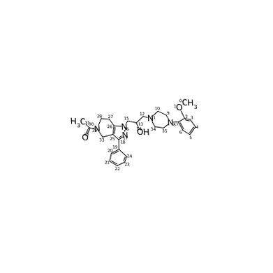 COc1ccccc1N1CCN(CC(O)Cn2nc(-c3ccccc3)c3c2CCN(C(C)=O)C3)CC1